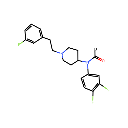 CCC(=O)N(c1ccc(F)c(F)c1)C1CCN(CCc2cccc(F)c2)CC1